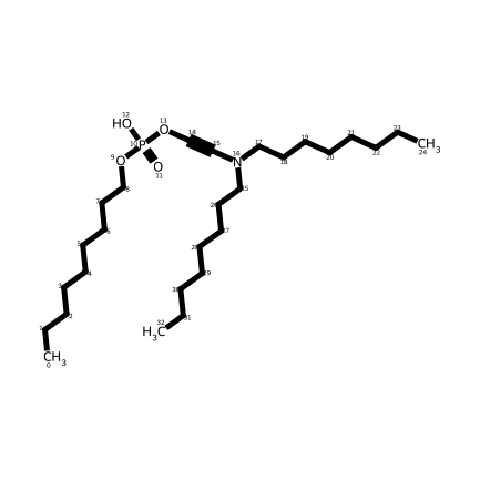 CCCCCCCCCOP(=O)(O)OC#CN(CCCCCCCC)CCCCCCCC